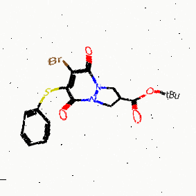 CC(C)(C)OC(=O)C1Cn2c(=O)c(Br)c(Sc3ccccc3)c(=O)n2C1